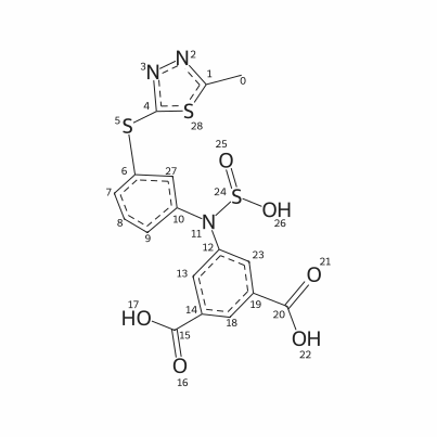 Cc1nnc(Sc2cccc(N(c3cc(C(=O)O)cc(C(=O)O)c3)S(=O)O)c2)s1